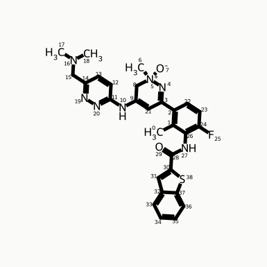 Cc1c(C2=N[N+](C)([O-])CC(Nc3ccc(CN(C)C)nn3)=C2)ccc(F)c1NC(=O)c1cc2ccccc2s1